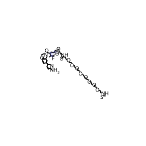 CC(=S)NCCOCCOCCOCCOCCOCCOCCOCCOCCC(=O)NCCS(=O)(=O)/C=C/C=C(C(=O)N1CCOc2ccc(-c3ccc(N)nc3)cc2C1)\C(C)=C(/C)F